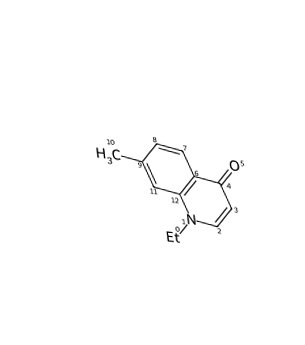 CCn1ccc(=O)c2ccc(C)cc21